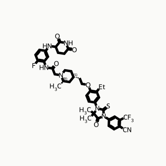 CCc1cc(N2C(=S)N(c3ccc(C#N)c(C(F)(F)F)c3)C(=O)C2(C)C)ccc1OCC[C@H]1CCN(CC(=O)Nc2cc(NC3CCC(=O)NC3=O)ccc2F)[C@H](C)C1